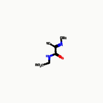 CCOC(=O)CNC(=O)/C(C#N)=N/OC